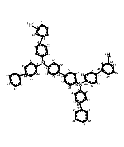 [3H]c1cccc(-c2ccc(N(c3ccc(-c4ccccc4)cc3)c3ccc(-c4ccc(N(c5ccc(-c6ccccc6)cc5)c5ccc(-c6cccc([3H])c6)cc5)cc4)cc3)cc2)c1